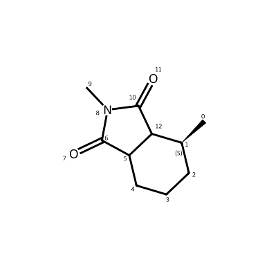 C[C@H]1CCCC2C(=O)N(C)C(=O)C21